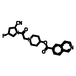 N#C[C@@H]1C[C@H](F)CN1C(=O)CN1CCC(OC(=O)c2ccc3cnccc3c2)CC1